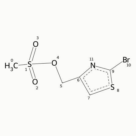 CS(=O)(=O)OCc1csc(Br)n1